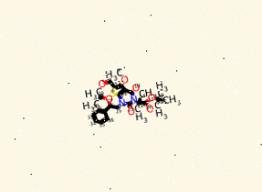 COc1c(C=O)sc2c1c(=O)n(C(C)(C)C(=O)OC(C)(C)C)c(=O)n2CC(OC(C)C)c1ccccc1